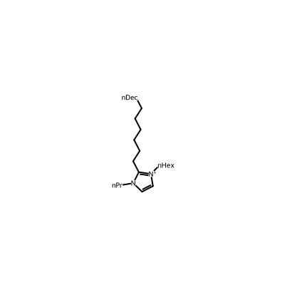 CCCCCCCCCCCCCCCCc1n(CCC)cc[n+]1CCCCCC